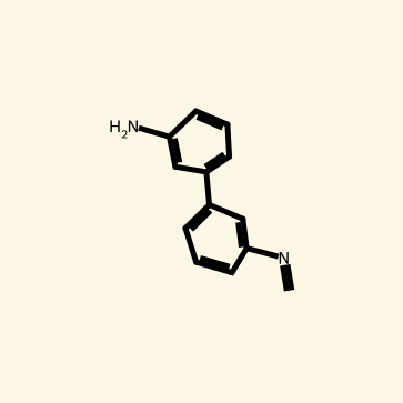 C=Nc1cccc(-c2cccc(N)c2)c1